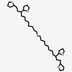 C(CCCCC(CCC1CCCO1)C1CCCO1)CCCSCCCCCCCCC(CCC1CCCO1)C1CCCO1